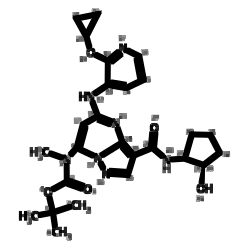 CN(C(=O)OC(C)(C)C)c1cc(Nc2cccnc2OC2CC2)nc2c(C(=O)NC3CCC[C@H]3O)cnn12